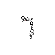 CC(C)(C)c1ccccc1N1CCN(C(=O)c2ccc(OCC3CCN(OC(=O)C=O)CC3)cc2)CC1